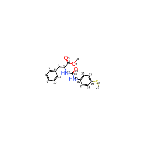 COC(=O)[C@H](Cc1ccccc1)NC(=O)Nc1ccc(SC)cc1